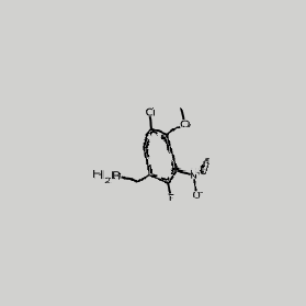 BCc1cc(Cl)c(OC)c([N+](=O)[O-])c1F